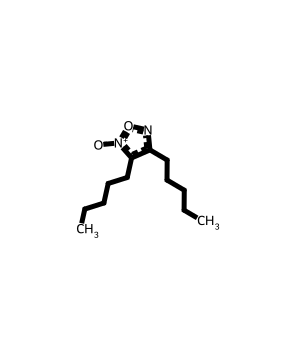 CCCCCc1no[n+]([O-])c1CCCCC